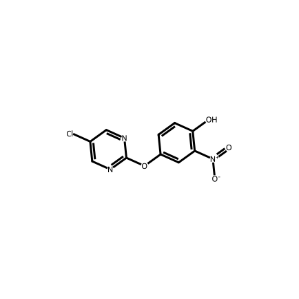 O=[N+]([O-])c1cc(Oc2ncc(Cl)cn2)ccc1O